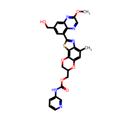 COc1cnc2c(-c3nc4c(C)cc5c(c4s3)OCC(COC(=O)Nc3cccnc3)O5)cc(CO)cc2n1